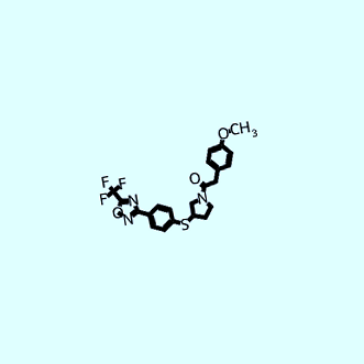 COc1ccc(CC(=O)N2CCC(Sc3ccc(-c4noc(C(F)(F)F)n4)cc3)C2)cc1